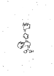 O=C(O)N1CCN(c2ccc(N3CCNCC3)cn2)c2ccccc21